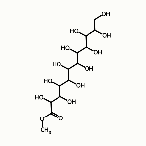 COC(=O)C(O)C(O)C(O)C(O)C(O)C(O)C(O)C(O)C(O)C(O)CO